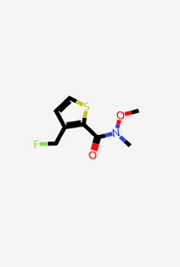 CON(C)C(=O)c1sccc1CF